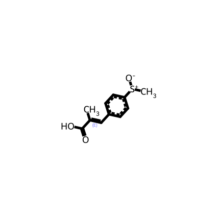 C/C(=C\c1ccc([S+](C)[O-])cc1)C(=O)O